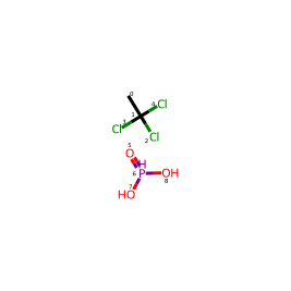 CC(Cl)(Cl)Cl.O=[PH](O)O